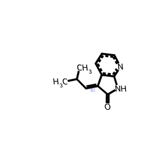 CC(C)/C=C1/C(=O)Nc2ncccc21